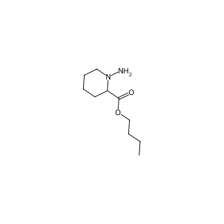 CCCCOC(=O)C1CCCCN1N